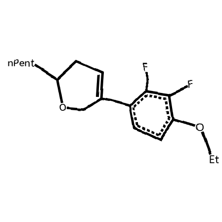 CCCCCC1CC=C(c2ccc(OCC)c(F)c2F)CO1